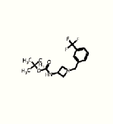 CC(C)(C)OC(=O)NC1CN(Cc2cccc(C(F)(F)F)c2)C1